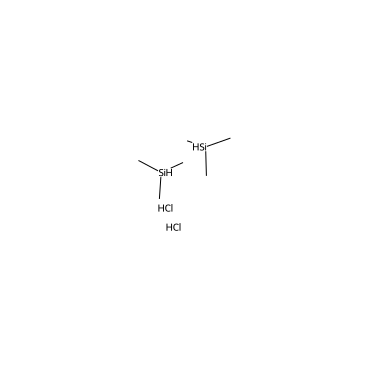 C[SiH](C)C.C[SiH](C)C.Cl.Cl